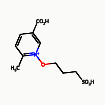 Cc1ccc(C(=O)O)c[n+]1OCCCS(=O)(=O)O